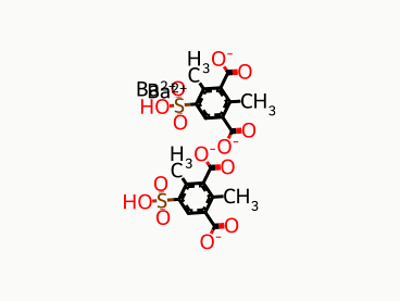 Cc1c(C(=O)[O-])cc(S(=O)(=O)O)c(C)c1C(=O)[O-].Cc1c(C(=O)[O-])cc(S(=O)(=O)O)c(C)c1C(=O)[O-].[Ba+2].[Ba+2]